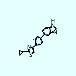 [c]1cc(-c2ccc3[nH]cnc3c2)ccc1-c1csc(C2CC2)n1